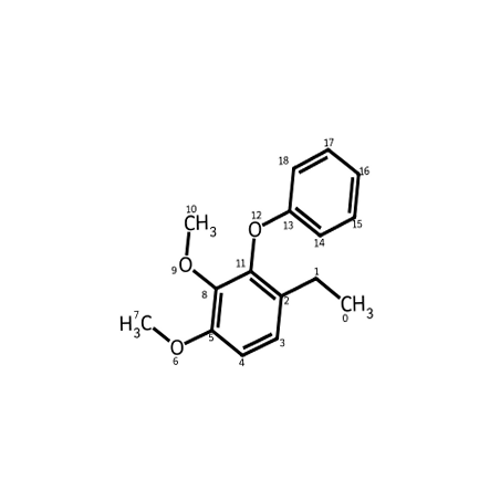 CCc1ccc(OC)c(OC)c1Oc1ccccc1